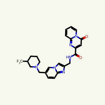 O=C(NCc1cn2cc(CN3CCCC(C(F)(F)F)C3)ccc2n1)c1cc(=O)n2ccccc2n1